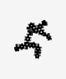 CC(C)(C)OC(=O)NC[C@H]1CC[C@H](C(=O)N(c2ccc(-c3nnn[nH]3)cc2)[C@@H](Cc2cccc(Br)c2)C(N)=O)CC1.Cc1ccc(S(=O)(=O)N2CCCC2)cc1-c1cccc(C[C@H](NC(=O)[C@H]2CC[C@H](CNC(=O)O)CC2)C(=O)Nc2ccc(-c3nnn[nH]3)cc2)c1